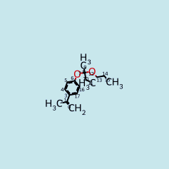 C=C(C)c1ccc(OC(C)(CC)OCCC)cc1